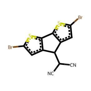 N#CC(C#N)C1c2cc(Br)sc2-c2sc(Br)cc21